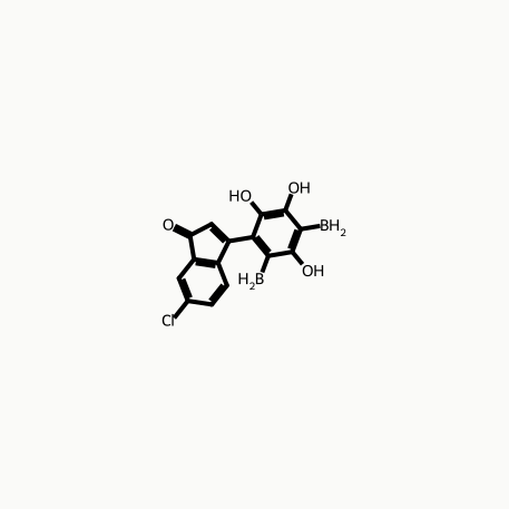 Bc1c(O)c(B)c(C2=CC(=O)c3cc(Cl)ccc32)c(O)c1O